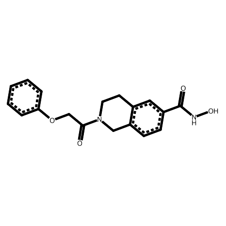 O=C(NO)c1ccc2c(c1)CCN(C(=O)COc1ccccc1)C2